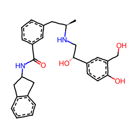 C[C@H](Cc1cccc(C(=O)NC2Cc3ccccc3C2)c1)NC[C@@H](O)c1ccc(O)c(CO)c1